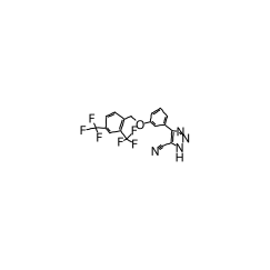 N#Cc1[nH]nnc1-c1cccc(OCc2ccc(C(F)(F)F)cc2C(F)(F)F)c1